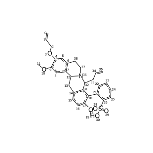 C=CCOc1cc2c(cc1OC)C1Cc3ccc(OC)c(-c4ccccc4S(=O)(=O)O)c3C(CC=C)N1CC2